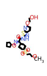 COCCCS(=O)(=O)c1ccc(/C(=N\OC2CCCC2)C(=O)Nc2nc3ccc(OCCO)nc3s2)cc1